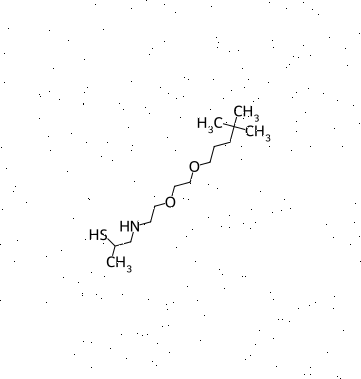 CC(S)CNCCOCCOCCCC(C)(C)C